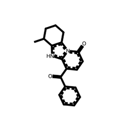 CC1CCCc2c1[nH]c1c(C(=O)c3ccccc3)ccc(=O)n21